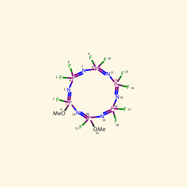 COP1(F)=NP(F)(F)=NP(F)(F)=NP(F)(F)=NP(F)(F)=NP(F)(OC)=N1